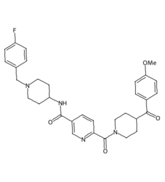 COc1ccc(C(=O)C2CCN(C(=O)c3ccc(C(=O)NC4CCN(Cc5ccc(F)cc5)CC4)cn3)CC2)cc1